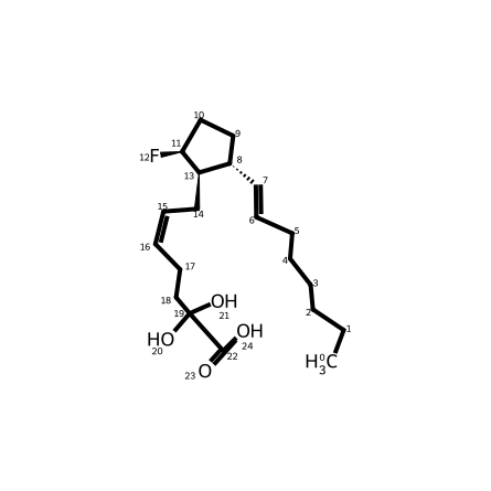 CCCCCC/C=C/[C@H]1CC[C@H](F)[C@@H]1C/C=C\CCC(O)(O)C(=O)O